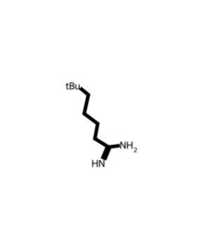 CC(C)(C)CCCCC(=N)N